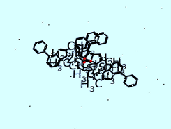 C[SiH2][Zr]([CH3])([CH3])([CH]1C(C)=Cc2c(-c3ccccc3)cccc21)([CH]1C(C)=Cc2c(-c3ccccc3)cccc21)[SiH]1CC[SiH]([Zr]([CH3])([CH3])([SiH2]C)([CH]2C(C)=Cc3c(-c4ccccc4)cccc32)[CH]2C(C)=Cc3c(-c4ccccc4)cccc32)CC1